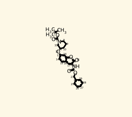 CC(C)(C)OC(=O)N1CCCC(Oc2ccc3cc(NC(=O)OCc4ccccc4)c(=O)oc3c2)C1